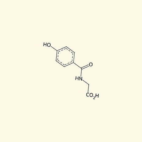 O=C(O)CNC(=O)c1ccc(O)cc1